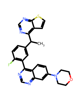 CC(c1ccc(F)c(-c2ncnc3cc(N4CCOCC4)ccc23)c1)c1ncnc2sccc12